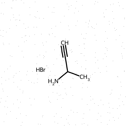 Br.C#CC(C)N